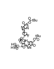 CC(C)(C)C(=O)OCn1cnc2c(ncn2[C@@H]2O[C@H](COP(=O)(O)S)[C@@H](OP(=O)(O)OC[C@H]3O[C@@H](n4cnc5c(=O)n(COC(=O)C(C)(C)C)cnc54)C[C@H]3F)[C@H]2F)c1=O